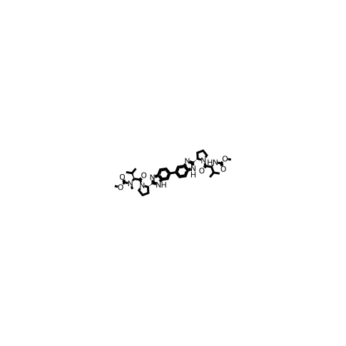 COC(=O)N[C@H](C(=O)N1CCC[C@H]1c1nc2cc(-c3ccc4nc([C@@H]5CCCN5C(=O)[C@H](C(C)C)N(C)C(=O)OC)[nH]c4c3)ccc2[nH]1)C(C)C